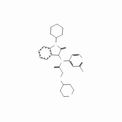 C=C(C)/C=C(\C=C/C)N(C(=O)COC1CCOCC1)C1C(=O)N(C2CCCCC2)c2ccccc21